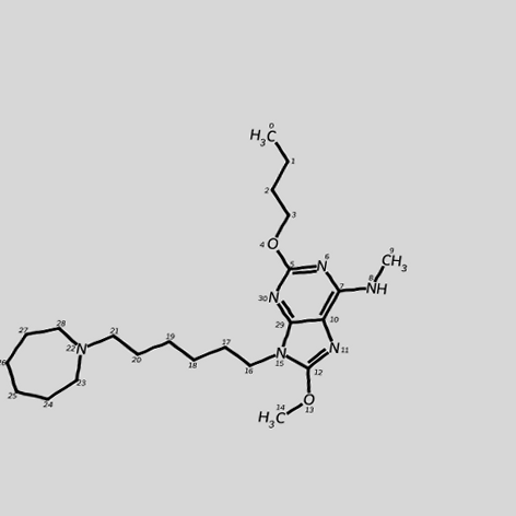 CCCCOc1nc(NC)c2nc(OC)n(CCCCCCN3CCCCCC3)c2n1